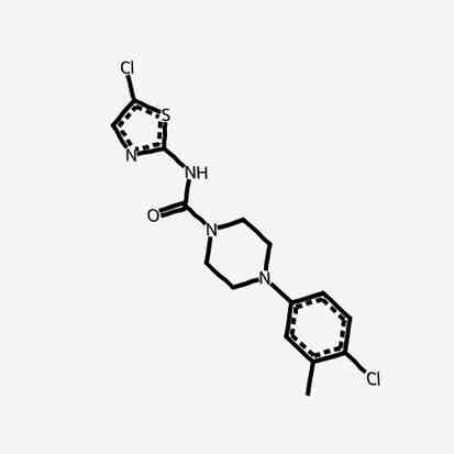 Cc1cc(N2CCN(C(=O)Nc3ncc(Cl)s3)CC2)ccc1Cl